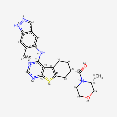 CSc1cc2[nH]ncc2cc1Nc1ncnc2sc3c(c12)CC[C@H](C(=O)N1CCOC[C@H]1C)C3